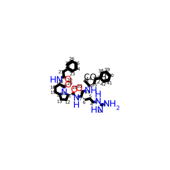 N=C(N)NCCC[C@H](NC(=O)[C@@H]1CCC2CC[C@H](NC(=O)Cc3ccccc3)C(=O)N21)C(=O)N[C@@H](CCc1ccccc1)CC(=O)O